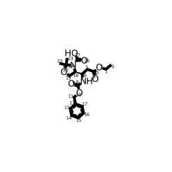 CCOC(=O)CC(NC(=O)OCc1ccccc1)[C@H]1COC(C)(C)N1C(=O)O